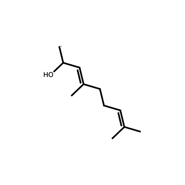 [CH2]C(O)/C=C(\C)CCC=C(C)C